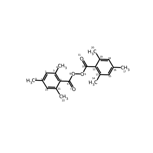 Cc1cc(C)c(C(=O)OOC(=O)c2c(C)cc(C)cc2C)c(C)c1